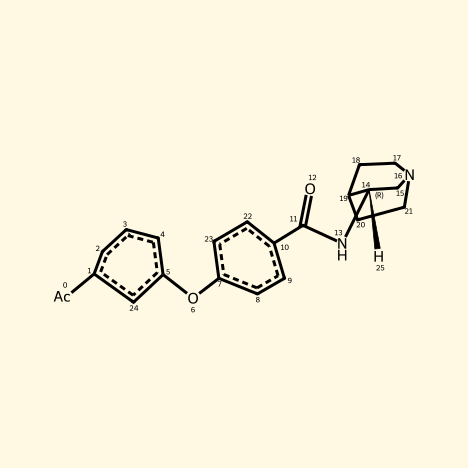 CC(=O)c1cccc(Oc2ccc(C(=O)N[C@H]3CN4CCC3CC4)cc2)c1